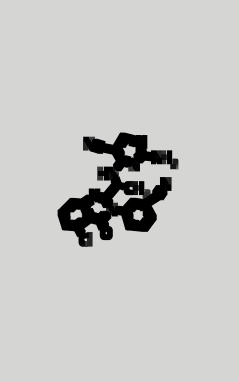 C[C@H](Nc1nc(N)ncc1C#N)c1nc2cccc(Cl)c2c(=O)n1-c1cccc(C#N)c1